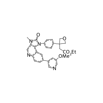 CCOC(=O)CC1(c2ccc(-n3c(=O)n(C)c4cnc5ccc(-c6cncc(OC)c6)cc5c43)cc2)COC1